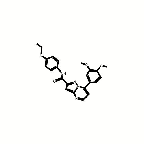 CCOc1ccc(NC(=O)c2cc3nccc(-c4ccc(OC)c(OC)c4)n3n2)cc1